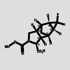 CC(C)(C)OC(=O)N1C[C@@H]2[C@H]3C[C@@H]([C@@H]2[C@H]1C(=O)O)[C@H]1[C@@H]3C1(F)F